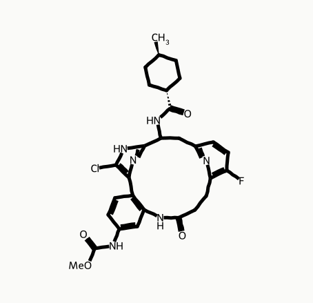 COC(=O)Nc1ccc2c(c1)NC(=O)CCc1nc(ccc1F)CC(NC(=O)[C@H]1CC[C@H](C)CC1)c1nc-2c(Cl)[nH]1